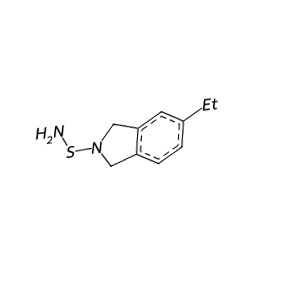 CCc1ccc2c(c1)CN(SN)C2